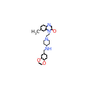 Cc1ccc2ncc(=O)n(CCN3CCC(NCc4ccc5c(c4)OC=CO5)CC3)c2c1